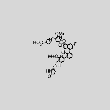 COc1nc(-c2cccc(-c3cc(F)cc4c3CC[C@@H]4Oc3nc(OC)c(CN4CC[C@@H](C(=O)O)C4)cc3C(F)(F)F)c2Cl)ccc1CNC[C@@H]1CCC(=O)N1